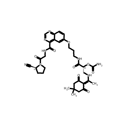 CC(NC[C@@H](OC(N)=O)C(=O)NCCCOc1ccc2ncnc(C(=O)NCC(=O)N3CCC[C@H]3C#N)c2c1)=C1C(=O)CC(C)(C)CC1=O